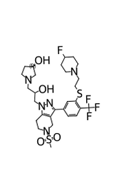 CS(=O)(=O)N1CCc2c(c(-c3ccc(C(F)(F)F)c(SCCN4CCC(F)CC4)c3)nn2CC(O)CN2CC[C@@H](O)C2)C1